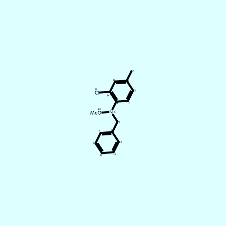 [CH2]c1ccc(N(Cc2ccccc2)OC)c(Cl)c1